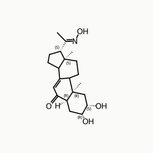 CC(=NO)[C@H]1CCC2C3=CC(=O)[C@@H]4C[C@@H](O)[C@@H](O)C[C@]4(C)C3CC[C@@]21C